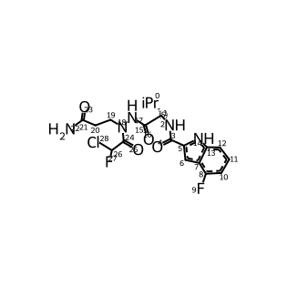 CC(C)[C@H](NC(=O)c1cc2c(F)cccc2[nH]1)C(=O)NN(CCC(N)=O)C(=O)C(F)Cl